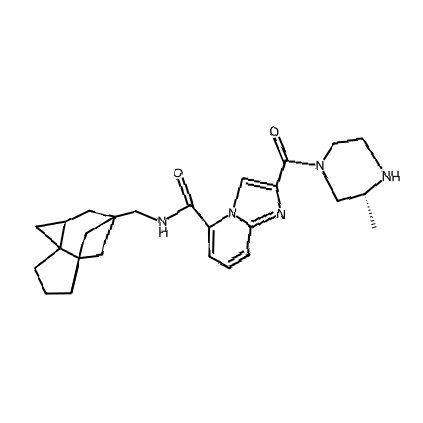 C[C@@H]1CN(C(=O)c2cn3c(C(=O)NCC45CC6CCC7(CC7C4)C6C5)cccc3n2)CCN1